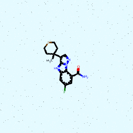 CC1(c2cnn3c2[nH]c2cc(F)cc(C(N)=O)c23)CCSCC1